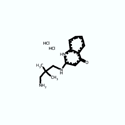 CC(C)(CN)CNc1cc(=O)c2ccccc2[nH]1.Cl.Cl